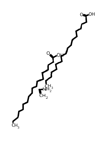 C=CN.CCCCCCCCCCCCCCCCCC(=O)O.CCCCCCCCCCCCCCCCCC(=O)O